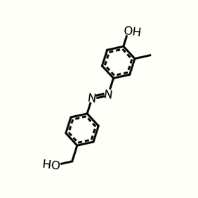 Cc1cc(N=Nc2ccc(CO)cc2)ccc1O